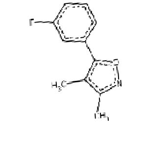 Cc1noc(-c2cccc(F)c2)c1C